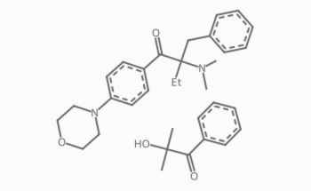 CC(C)(O)C(=O)c1ccccc1.CCC(Cc1ccccc1)(C(=O)c1ccc(N2CCOCC2)cc1)N(C)C